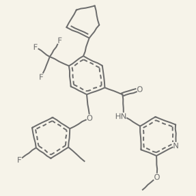 COc1cc(NC(=O)c2cc(C3=CCCC3)c(C(F)(F)F)cc2Oc2ccc(F)cc2C)ccn1